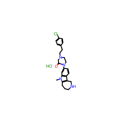 Cl.Cn1c2c(c3ccc(N4CCN(CCc5ccc(Cl)cc5)CC4=O)cc31)CNCCC2